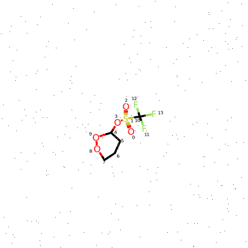 O=S(=O)(OC1CCCOO1)C(F)(F)F